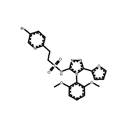 COc1cccc(OC)c1-n1c(NS(=O)(=O)CCc2ccc(Br)cn2)nnc1-c1ccco1